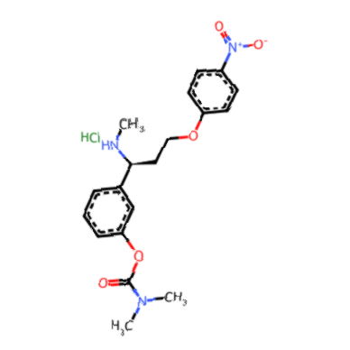 CN[C@@H](CCOc1ccc([N+](=O)[O-])cc1)c1cccc(OC(=O)N(C)C)c1.Cl